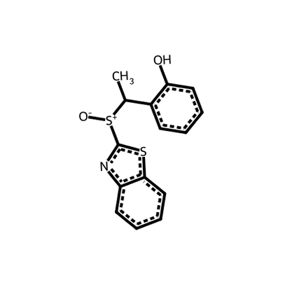 CC(c1ccccc1O)[S+]([O-])c1nc2ccccc2s1